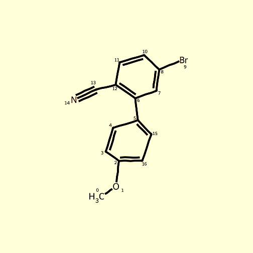 COc1ccc(-c2cc(Br)ccc2C#N)cc1